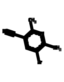 Cc1nc(N)c(Br)cc1C#N